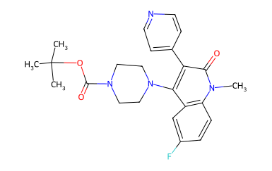 Cn1c(=O)c(-c2ccncc2)c(N2CCN(C(=O)OC(C)(C)C)CC2)c2cc(F)ccc21